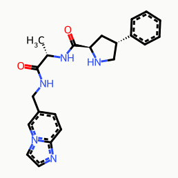 C[C@H](NC(=O)[C@H]1C[C@H](c2ccccc2)CN1)C(=O)NCc1ccc2nccn2c1